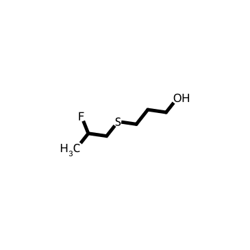 CC(F)CSCCCO